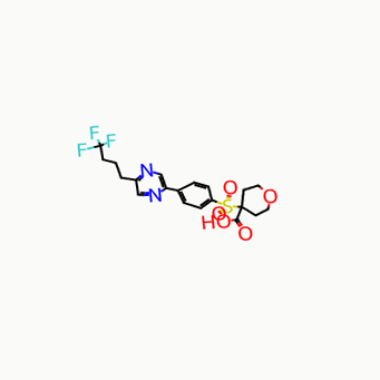 O=C(O)C1(S(=O)(=O)c2ccc(-c3cnc(CCCC(F)(F)F)cn3)cc2)CCOCC1